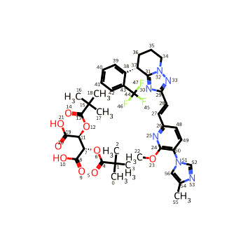 CC(C)(C)C(=O)O[C@H](C(=O)O)[C@H](OC(=O)C(C)(C)C)C(=O)O.COc1nc(C=Cc2nc3n(n2)CCC[C@H]3c2ccccc2C(F)(F)F)ccc1-n1cnc(C)c1